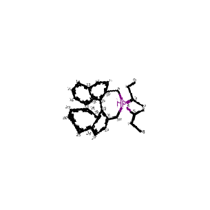 CCC(C)[PH]1(C(C)CC)Cc2ccc3ccccc3c2-c2c(ccc3ccccc23)C1